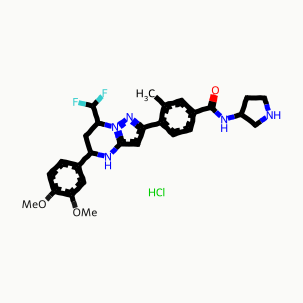 COc1ccc(C2CC(C(F)F)n3nc(-c4ccc(C(=O)NC5CCNC5)cc4C)cc3N2)cc1OC.Cl